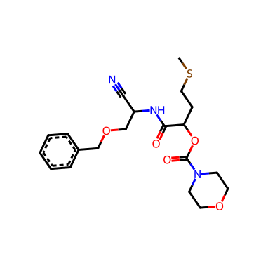 CSCCC(OC(=O)N1CCOCC1)C(=O)NC(C#N)COCc1ccccc1